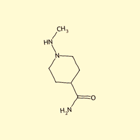 CNN1CCC(C(N)=O)CC1